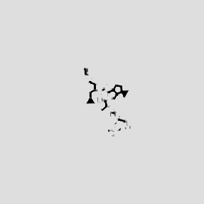 C=CCNC(=O)C(=O)C(CC1CC1)NC(=O)[C@@H]1[C@H]2CCC3(CC3)[C@H]2CN1C(=O)[C@@H](NC(=O)N[C@H](CN(C)[S+](C)[O-])C(C)(C)C)C(C)(C)C